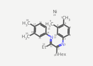 CCCCCCC(=Nc1ccc(C)c(C)c1)C(CC)=Nc1ccc(C)c(C)c1.[Ni]